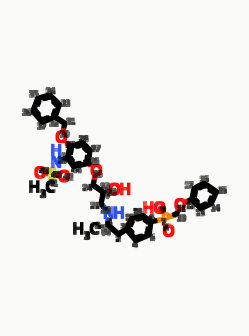 C[C@@H](Cc1ccc(P(=O)(O)COc2ccccc2)cc1)NC[C@@H](O)COc1ccc(OCc2ccccc2)c(NS(C)(=O)=O)c1